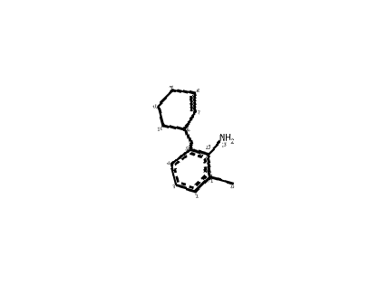 Cc1cccc(C2C=CCCC2)c1N